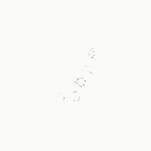 O=C(CO)C1C=C(c2ccc(N3C[C@H](Cn4ncnn4)OC3=O)cc2F)CCN1